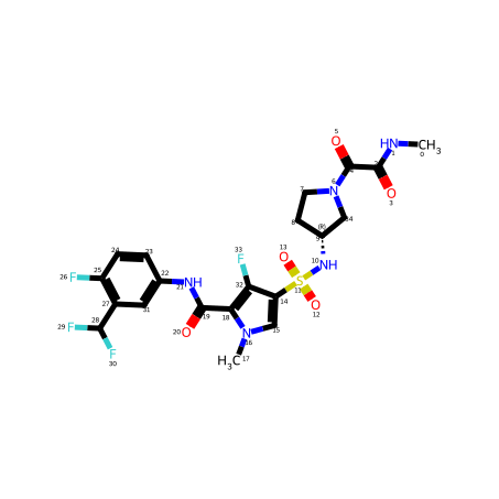 CNC(=O)C(=O)N1CC[C@@H](NS(=O)(=O)c2cn(C)c(C(=O)Nc3ccc(F)c(C(F)F)c3)c2F)C1